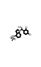 CC(=O)OC(c1ccc(Cl)cc1Cl)n1ccc2c(NS(C)(=O)=O)cccc21